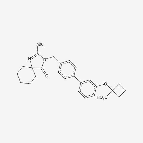 CCCCC1=NC2(CCCCC2)C(=O)N1Cc1ccc(-c2cccc(OC3(C(=O)O)CCC3)c2)cc1